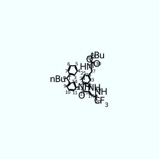 CCCCC(c1ccccc1)c1cccc(NC(=O)/C(=C/C(=N)C(F)(F)F)Nc2cccc(CNC(=O)OC(C)(C)C)c2)c1